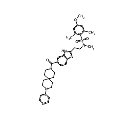 COc1cc(C)c(S(=O)(=O)N(C)CCc2nc3ccc(C(=O)N4CCC5(CC4)CCN(c4ccncc4)CC5)cc3[nH]2)c(C)c1